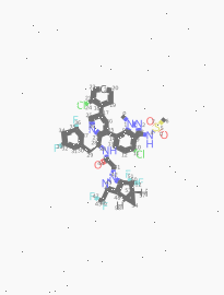 Cn1nc(NS(C)(=O)=O)c2c(Cl)ccc(-c3cc(-c4ccccc4Cl)cnc3[C@H](Cc3cc(F)cc(F)c3)NC(=O)Cn3nc(C(F)F)c4c3C(F)(F)[C@@H]3C[C@H]43)c21